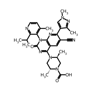 Cc1ccnc(C(C)C)c1-n1c(=O)nc(N2C[C@@H](C)N(C(=O)O)C[C@@H]2C)c2cc(C#N)c(-c3cn(C)nc3C)nc21